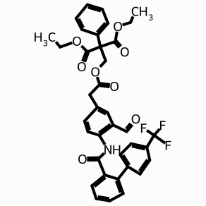 CCOC(=O)C(COC(=O)Cc1ccc(NC(=O)c2ccccc2-c2ccc(C(F)(F)F)cc2)c(C=O)c1)(C(=O)OCC)c1ccccc1